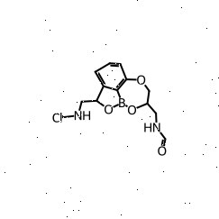 O=CNCC1COc2cccc3c2B(O1)OC3CNCl